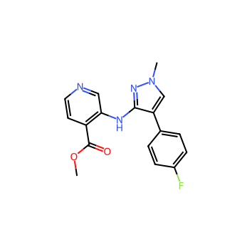 COC(=O)c1ccncc1Nc1nn(C)cc1-c1ccc(F)cc1